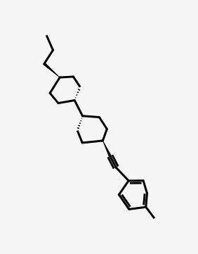 CCC[C@H]1CC[C@H]([C@H]2CC[C@H](C#Cc3ccc(C)cc3)CC2)CC1